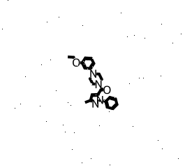 CCOc1cccc(N2CCN(C(=O)c3cc(C)nn3-c3ccccc3)CC2)c1